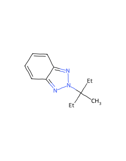 CCC(C)(CC)n1nc2ccccc2n1